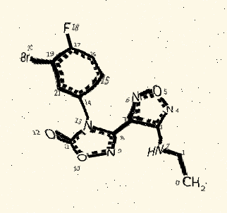 [CH2]CNc1nonc1-c1noc(=O)n1-c1ccc(F)c(Br)c1